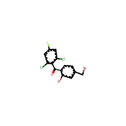 O=C(c1ccc(CBr)cc1Br)c1c(Cl)cc(F)cc1Cl